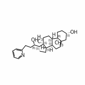 C[C@]12CC[C@H]3[C@@H](CC=C4C[C@@H](O)CC[C@@]43C)[C@@H]1CC[C@@H]2[C@H](O)CCc1ccccn1